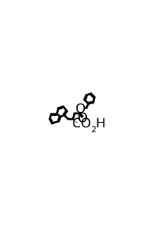 O=C(C[C@@H](Cc1cccc2ccccc12)C(=O)O)OCc1ccccc1